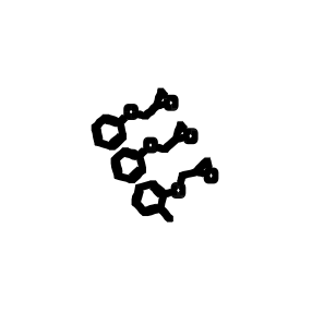 Cc1ccccc1OCC1CO1.c1ccc(OCC2CO2)cc1.c1ccc(OCC2CO2)cc1